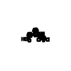 O=C(O)c1cccc(-c2ccc(NS(=O)(=O)c3cc(Cl)sc3Cl)c3ccccc23)c1